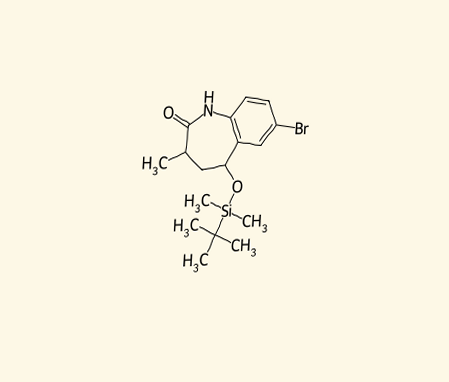 CC1CC(O[Si](C)(C)C(C)(C)C)c2cc(Br)ccc2NC1=O